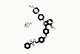 CC(=O)O.CN1CCN([C@H]2CC[C@@H](n3nc(-c4ccc(Oc5ccc(CNS(=O)(=O)c6ccccc6)cc5)cc4)c4c(N)ncnc43)CC2)CC1